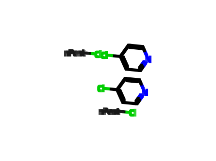 CCCCCCl.CCCCCCl.Clc1ccncc1.Clc1ccncc1